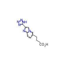 O=C(O)CCCc1ccc2nc(-c3nnn[nH]3)cn2c1